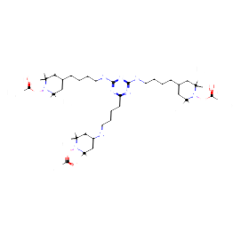 CC(=O)ON1C(C)(C)CC(CCCCNc2nc(CCCCNC3CC(C)(C)N(OC(C)=O)C(C)(C)C3)nc(NCCCCC3CC(C)(C)N(OC(C)=O)C(C)(C)C3)n2)CC1(C)C